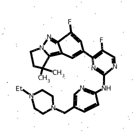 CCN1CCN(Cc2ccc(Nc3ncc(F)c(-c4cc(F)c5nn6c(c5c4)C(C)(C)CC6)n3)nc2)CC1